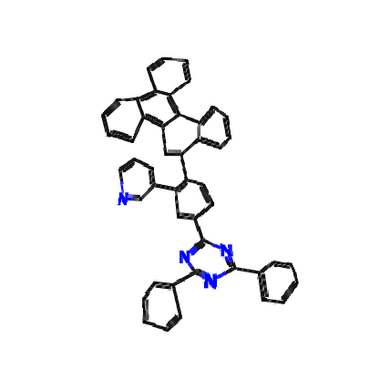 c1ccc(-c2nc(-c3ccccc3)nc(-c3ccc(-c4cc5c6ccccc6c6ccccc6c5c5ccccc45)c(-c4cccnc4)c3)n2)cc1